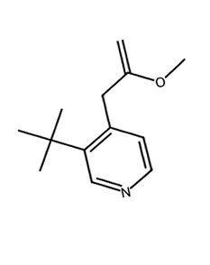 C=C(Cc1ccncc1C(C)(C)C)OC